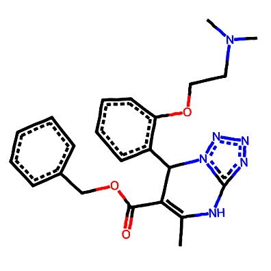 CC1=C(C(=O)OCc2ccccc2)C(c2ccccc2OCCN(C)C)n2nnnc2N1